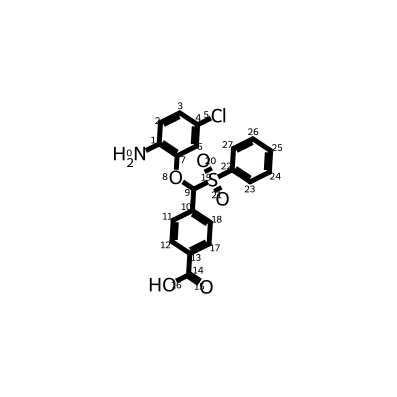 Nc1ccc(Cl)cc1OC(c1ccc(C(=O)O)cc1)S(=O)(=O)c1ccccc1